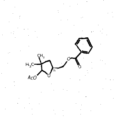 CC(=O)OC1O[C@H](COC(=O)c2ccccc2)CC1(C)C